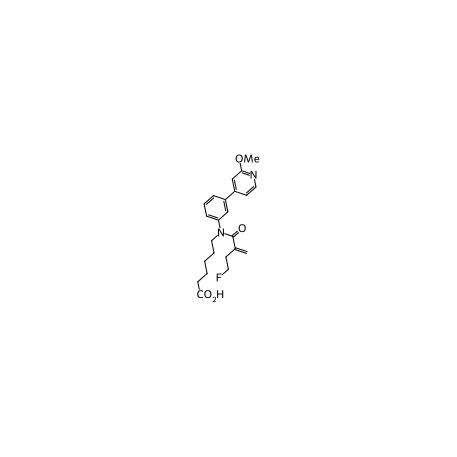 C=C(CCF)C(=O)N(CCCCCC(=O)O)c1cccc(-c2ccnc(OC)c2)c1